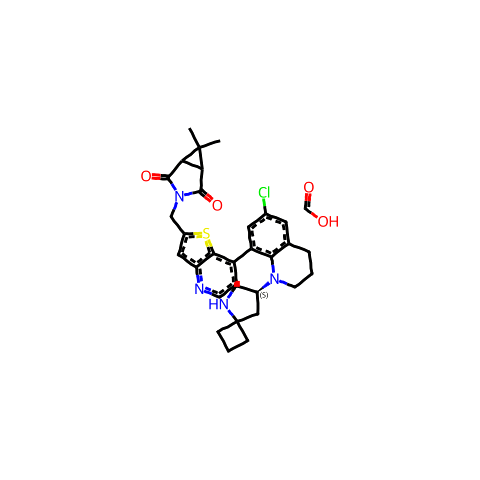 CC1(C)C2C(=O)N(Cc3cc4nccc(-c5cc(Cl)cc6c5N([C@@H]5CNC7(CCC7)C5)CCC6)c4s3)C(=O)C21.O=CO